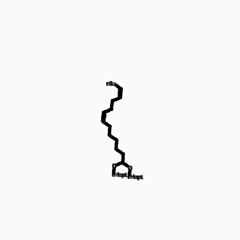 CCCC/C=C\CC/C=C\CCCCCC(OCCCCCCC)OCCCCCCC